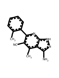 Cc1ccccc1-c1nc2[nH]nc(N)c2c(C)c1C#N